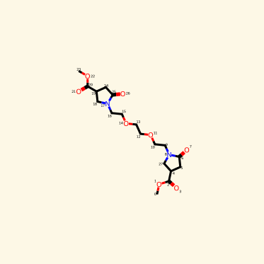 COC(=O)C1CC(=O)N(CCOCCOCCN2CC(C(=O)OC)CC2=O)C1